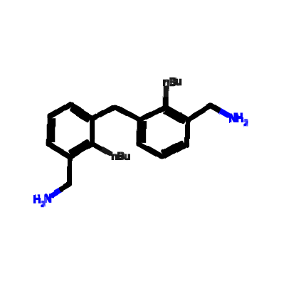 CCCCc1c(CN)cccc1Cc1cccc(CN)c1CCCC